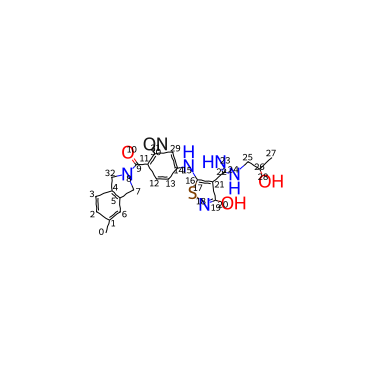 Cc1ccc2c(c1)CN(C(=O)c1ccc(Nc3snc(O)c3C(=N)NCC(C)O)cc1N=O)C2